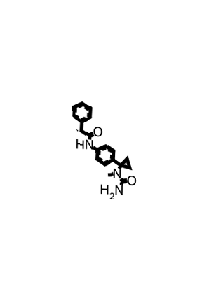 CN(C(N)=O)C1(c2ccc(NC(=O)[CH]c3ccccc3)cc2)CC1